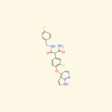 NC(=O)C(C(=O)NCc1ccc(F)cc1)c1ccc(Oc2ccnc3[nH]ccc23)c(F)c1